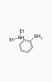 CCNCC.[SiH3]c1ccccc1